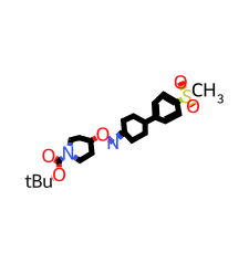 CC(C)(C)OC(=O)N1CCC(ON=C2CCC(c3ccc(S(C)(=O)=O)cc3)CC2)CC1